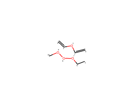 C=COC=C.CCOOOC